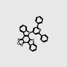 c1ccc(-c2cc(-n3c4ccccc4c4c5nonc5c5c6ccccc6sc5c43)cc(-c3ccccc3)n2)cc1